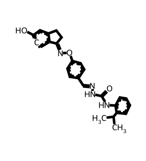 CC(C)c1ccccc1NC(=O)N/N=C/c1ccc(O/N=C2\CCc3cc(O)ccc32)cc1